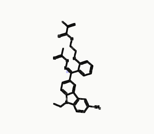 C=C(C)C(=O)OCCOc1ccccc1/C(=N\OC(C)=O)c1ccc2c(c1)c1cc(N)ccc1n2CC